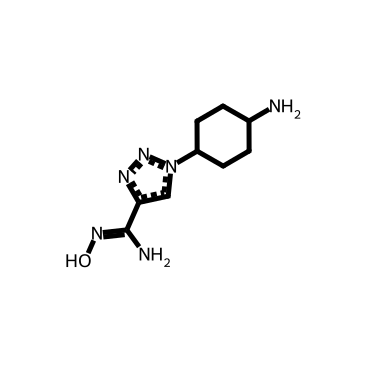 N/C(=N\O)c1cn(C2CCC(N)CC2)nn1